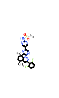 CC(C)[C@]1(c2cncc(-c3cnc(NS(C)(=O)=O)nc3)n2)CC[C@H](C)c2cc(-c3c(F)cccc3F)nnc21